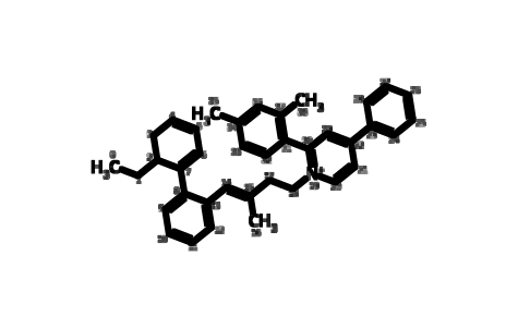 CCC1CC=CC=C1c1ccccc1/C=C(\C)CC[n+]1ccc(-c2ccccc2)cc1-c1ccc(C)cc1C